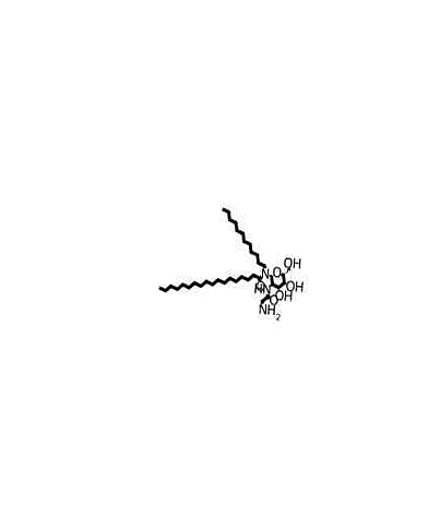 CCCCCCCCCCCCCCCCCC(=O)N(CCCCCCCCCCCC)[C@@H]1O[C@H](CO)[C@H](O)[C@H](O)[C@H]1NC(=O)CN